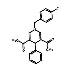 COC(=O)C1=CN(Cc2ccc(Cl)cc2)C=C(C(=O)OC)C1c1ccccc1